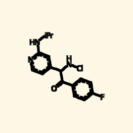 CC(C)Nc1cc(C(NCl)C(=O)c2ccc(F)cc2)ccn1